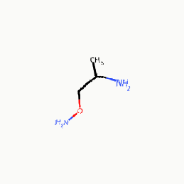 CC(N)CON